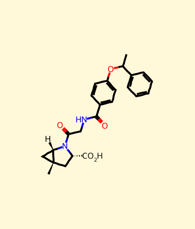 CC(Oc1ccc(C(=O)NCC(=O)N2[C@H]3C[C@@]3(C)C[C@H]2C(=O)O)cc1)c1ccccc1